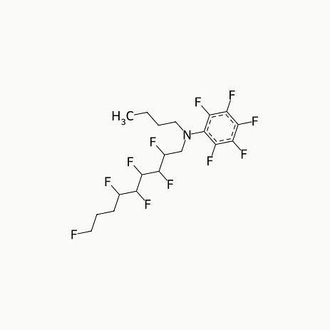 CCCCN(CC(F)C(F)C(F)C(F)C(F)CCCF)c1c(F)c(F)c(F)c(F)c1F